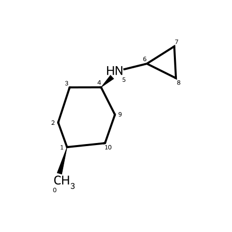 C[C@H]1CC[C@@H](NC2CC2)CC1